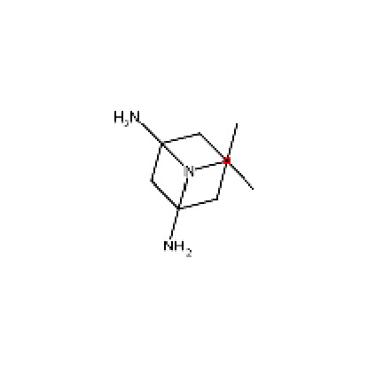 CC(C)N1C2(N)CCCC1(N)C2